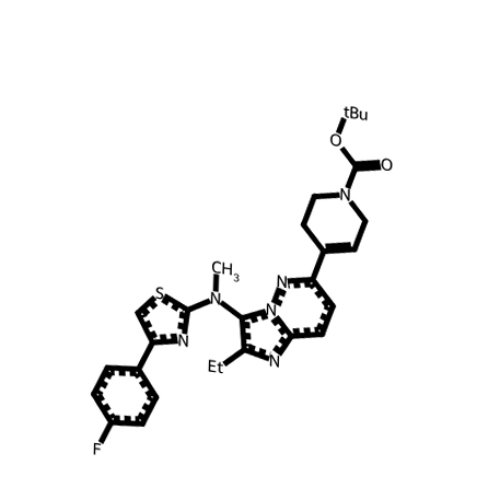 CCc1nc2ccc(C3=CCN(C(=O)OC(C)(C)C)CC3)nn2c1N(C)c1nc(-c2ccc(F)cc2)cs1